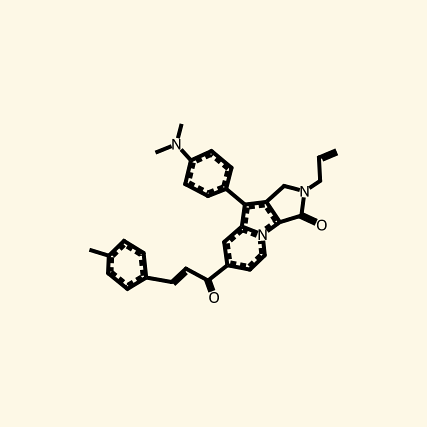 C=CCN1Cc2c(-c3ccc(N(C)C)cc3)c3cc(C(=O)/C=C/c4ccc(C)cc4)ccn3c2C1=O